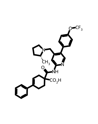 C[C@@H]1CCCN1Cc1cc(NC(=O)C2(C(=O)O)CC=C(c3ccccc3)CC2)ncc1-c1ccc(OC(F)(F)F)cc1